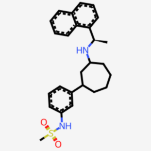 C[C@@H](NC1CCCCC(c2cccc(NS(C)(=O)=O)c2)C1)c1cccc2ccccc12